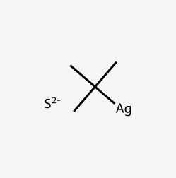 C[C](C)(C)[Ag].[S-2]